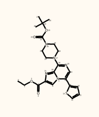 CCOC(=O)c1cn2c(-c3cccs3)cnc(N3CCN(C(=O)OC(C)(C)C)CC3)c2n1